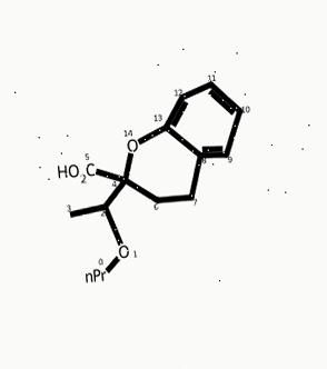 CCCOC(C)C1(C(=O)O)CCc2ccccc2O1